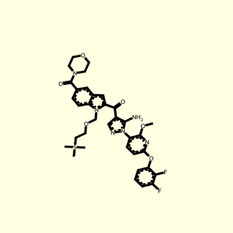 COc1nc(Oc2cccc(F)c2F)ccc1-n1ncc(C(=O)c2cc3cc(C(=O)N4CCOCC4)ccc3n2COCCS(C)(C)C)c1N